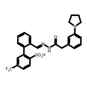 O=C(Cc1cccc(N2CCCC2)c1)NN=Cc1ccccc1-c1cc(C(F)(F)F)ccc1S(=O)(=O)O